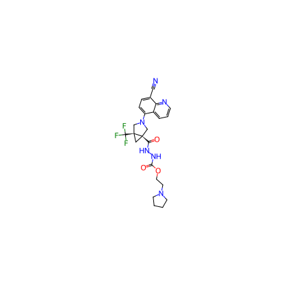 N#Cc1ccc(N2C[C@]3(C(=O)NNC(=O)OCCN4CCCC4)C[C@]3(C(F)(F)F)C2)c2cccnc12